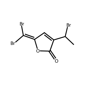 CC(Br)C1=CC(=C(Br)Br)OC1=O